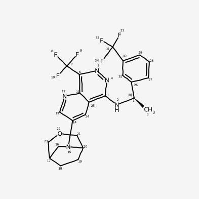 C[C@@H](Nc1nnc(C(F)(F)F)c2ncc(N3CC4CCC3COC4)cc12)c1cccc(C(F)(F)F)c1